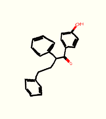 O=C(c1ccc(O)cc1)C(CCc1ccccc1)c1ccccc1